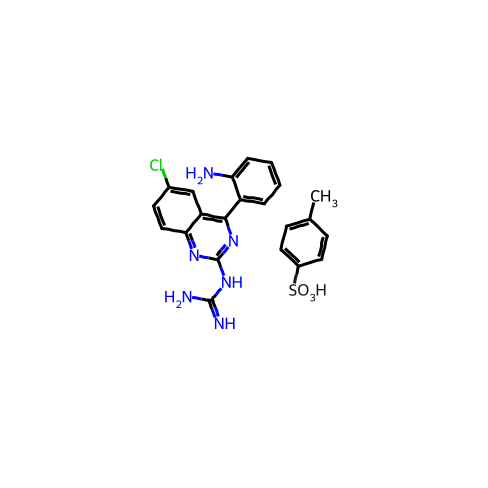 Cc1ccc(S(=O)(=O)O)cc1.N=C(N)Nc1nc(-c2ccccc2N)c2cc(Cl)ccc2n1